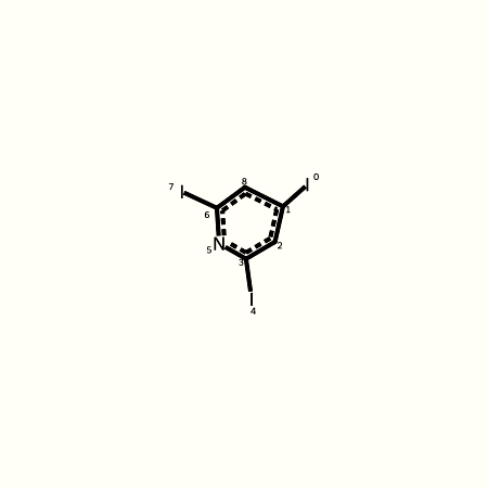 Ic1cc(I)nc(I)c1